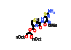 CCCCCCCCOCC(COCCCCCCCC)OC(=O)C1=CCS[C@@H]2C(NC(=O)/C(=N\OC)c3csc(N)n3)C(=O)N12